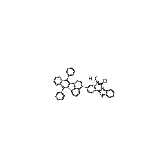 Cn1c(=O)n2c3ccccc3nc2c2ccc(-c3ccc4c5c(cccc35)-c3c-4c(-c4ccccc4)c4ccccc4c3-c3ccccc3)cc21